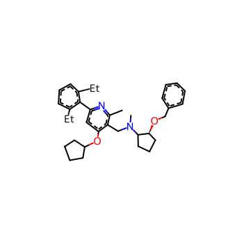 CCc1cccc(CC)c1-c1cc(OC2CCCC2)c(CN(C)C2CCC[C@@H]2OCc2ccccc2)c(C)n1